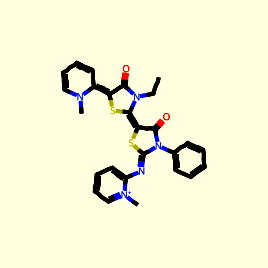 CCn1c(=O)/c(=C2\C=CC=CN2C)s/c1=C1\S/C(=N\c2cccc[n+]2C)N(c2ccccc2)C1=O